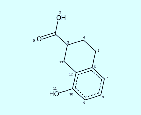 O=C(O)C1CCc2cccc(O)c2C1